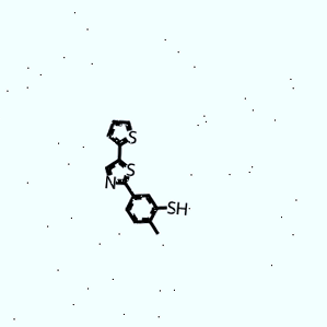 Cc1ccc(-c2ncc(-c3cccs3)s2)cc1S